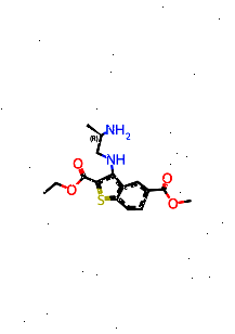 CCOC(=O)c1sc2ccc(C(=O)OC)cc2c1NC[C@@H](C)N